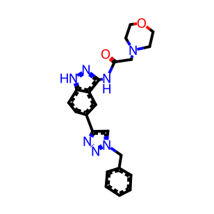 O=C(CN1CCOCC1)Nc1n[nH]c2ccc(-c3cn(Cc4ccccc4)nn3)cc12